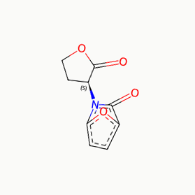 O=C1OCC[C@@H]1n1c(=O)c2ccc1o2